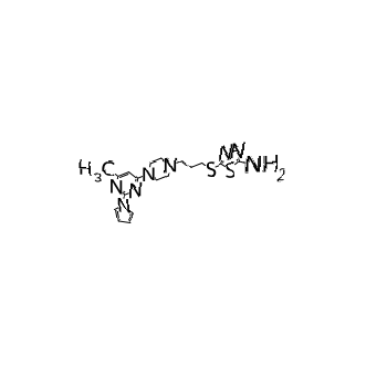 Cc1cc(N2CCN(CCCSc3nnc(N)s3)CC2)nc(-n2cccc2)n1